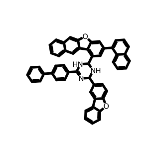 c1ccc(-c2ccc(C3=NC(c4ccc5oc6ccccc6c5c4)NC(c4cc(-c5cccc6ccccc56)cc5oc6cc7ccccc7cc6c45)N3)cc2)cc1